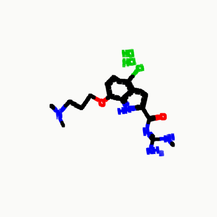 CNC(N)=NC(=O)c1cc2c(Cl)ccc(OCCCN(C)C)c2[nH]1.Cl.Cl